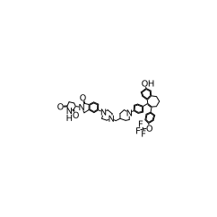 O=C1CCC(N2Cc3cc(N4CCN(CC5CCN(c6ccc(C7=C(c8ccc(OC(F)(F)F)cc8)CCCc8cc(O)ccc87)cc6)CC5)CC4)ccc3C2=O)C(=O)N1